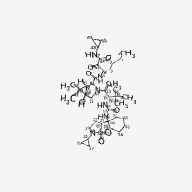 CCCC[C@H](NC(=O)[C@@H]1[C@@H]2[C@H](CN1C(=O)[C@@H](NC(=O)NC1([C@@H]3CCN(C4CC4)S3(=O)=O)CCCCC1)C(C)(C)C)C2(C)C)C(=O)C(=O)NC1CC1